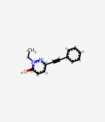 CCn1nc(C#Cc2ccccc2)ccc1=O